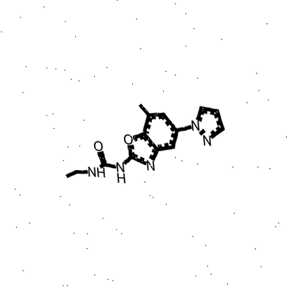 CCNC(=O)Nc1nc2cc(-n3cccn3)cc(C)c2o1